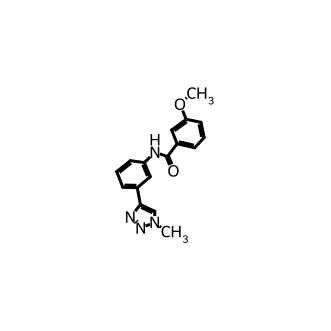 COc1cccc(C(=O)Nc2cccc(-c3cn(C)nn3)c2)c1